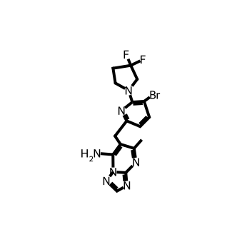 Cc1nc2ncnn2c(N)c1Cc1ccc(Br)c(N2CCC(F)(F)C2)n1